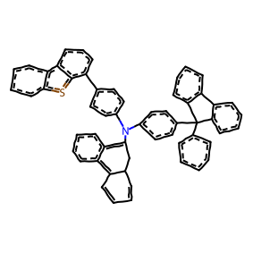 C1=CC2=c3ccccc3=C(N(c3ccc(-c4cccc5c4sc4ccccc45)cc3)c3ccc(C4(c5ccccc5)c5ccccc5-c5ccccc54)cc3)CC2C=C1